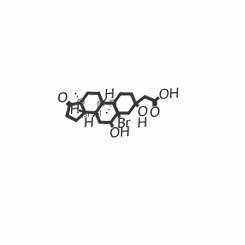 C[C@]12CC[C@@H]3[C@@H](CC(O)C4(Br)CC(O)(CC(=O)O)CC[C@]34C)[C@@H]1CCC2=O